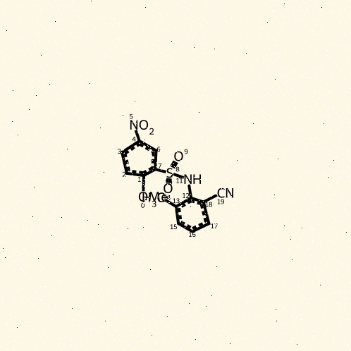 COc1ccc([N+](=O)[O-])cc1S(=O)(=O)Nc1c(C)cccc1C#N